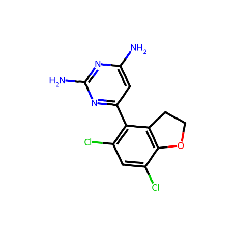 Nc1cc(-c2c(Cl)cc(Cl)c3c2CCO3)nc(N)n1